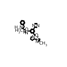 Cc1csc(C2CCCN2C(=O)c2cc(-c3cnccn3)cc(-c3nnc(C(C)(N)Cc4ccccc4)o3)c2)n1